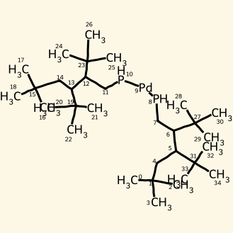 CC(C)(C)CC(C(C[PH][Pd][PH]CC(C(CC(C)(C)C)C(C)(C)C)C(C)(C)C)C(C)(C)C)C(C)(C)C